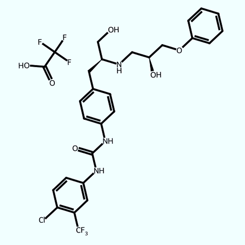 O=C(Nc1ccc(C[C@@H](CO)NC[C@H](O)COc2ccccc2)cc1)Nc1ccc(Cl)c(C(F)(F)F)c1.O=C(O)C(F)(F)F